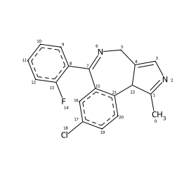 CC1=NC=C2CN=C(c3ccccc3F)c3cc(Cl)ccc3C21